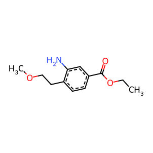 CCOC(=O)c1ccc(CCOC)c(N)c1